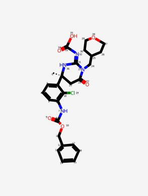 C[C@@]1(c2cccc(NC(=O)OCc3ccccc3)c2Cl)CC(=O)N(CC2CCOCC2)C(=NC(=O)O)N1